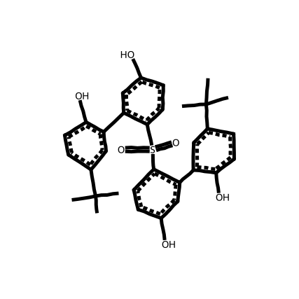 CC(C)(C)c1ccc(O)c(-c2cc(O)ccc2S(=O)(=O)c2ccc(O)cc2-c2cc(C(C)(C)C)ccc2O)c1